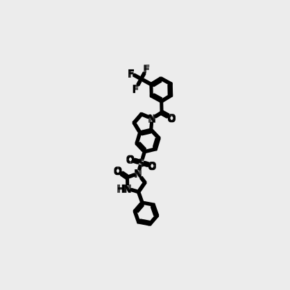 O=C(c1cccc(C(F)(F)F)c1)N1CCc2cc(S(=O)(=O)N3CC(c4ccccc4)NC3=O)ccc21